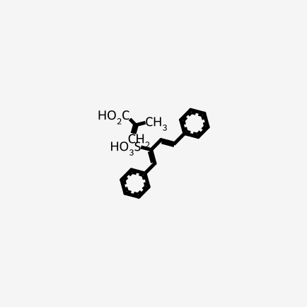 C=C(C)C(=O)O.O=S(=O)(O)C(C=Cc1ccccc1)=Cc1ccccc1